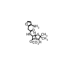 CC1(C)S[C@@H]2C(NC(=O)Cc3occc3N)C(=O)N2[C@H]1C(=O)O